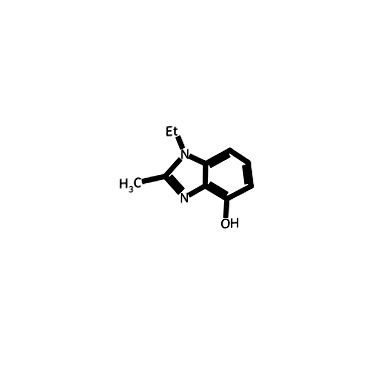 CCn1c(C)nc2c(O)cccc21